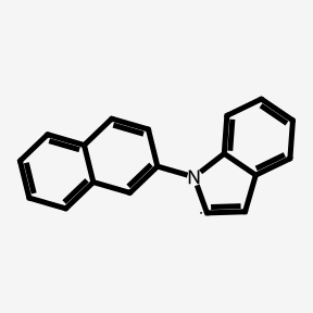 [c]1cc2ccccc2n1-c1ccc2ccccc2c1